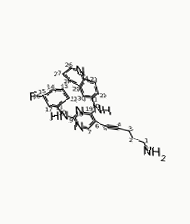 NCCCC#Cc1cnc(Nc2cccc(F)c2)nc1Nc1ccc2ncccc2c1